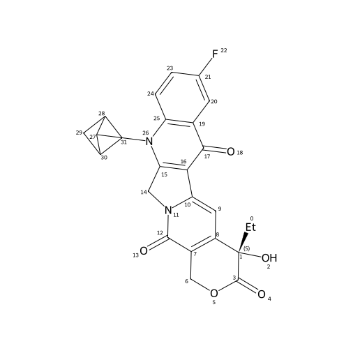 CC[C@@]1(O)C(=O)OCc2c1cc1n(c2=O)Cc2c-1c(=O)c1cc(F)ccc1n2C1C2CC1C2